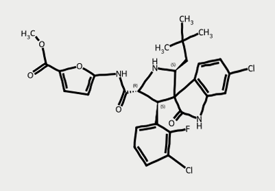 COC(=O)c1ccc(NC(=O)[C@@H]2N[C@@H](CC(C)(C)C)C3(C(=O)Nc4cc(Cl)ccc43)[C@H]2c2cccc(Cl)c2F)o1